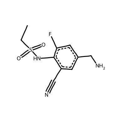 CCS(=O)(=O)Nc1c(F)cc(CN)cc1C#N